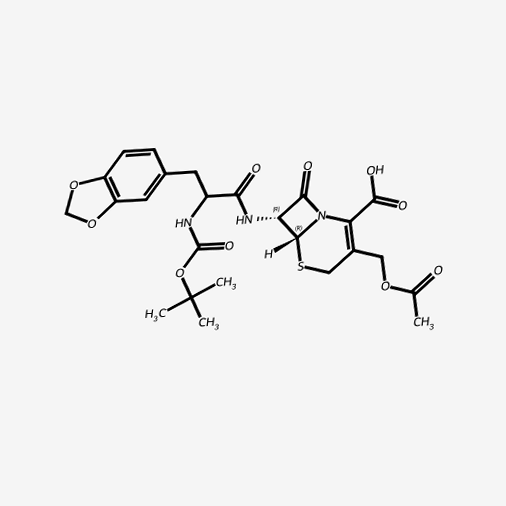 CC(=O)OCC1=C(C(=O)O)N2C(=O)[C@@H](NC(=O)C(Cc3ccc4c(c3)OCO4)NC(=O)OC(C)(C)C)[C@H]2SC1